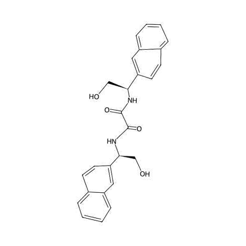 O=C(N[C@@H](CO)c1ccc2ccccc2c1)C(=O)N[C@@H](CO)c1ccc2ccccc2c1